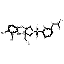 N#Cc1ccc(O[C@H]2CN(S(=O)(=O)c3cccc(OC(F)F)n3)C[C@@]2(O)CO)cc1F